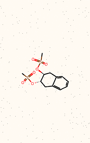 CS(=O)(=O)O[C@H]1Cc2ccccc2C[C@@H]1OS(C)(=O)=O